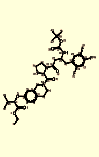 CCOC(=O)C(Oc1ccc2c(c1)CN(C(=O)C1SCCN1C(=O)CC(Cc1cc(F)c(F)cc1F)NC(=O)OC(C)(C)C)CC2)C(C)C